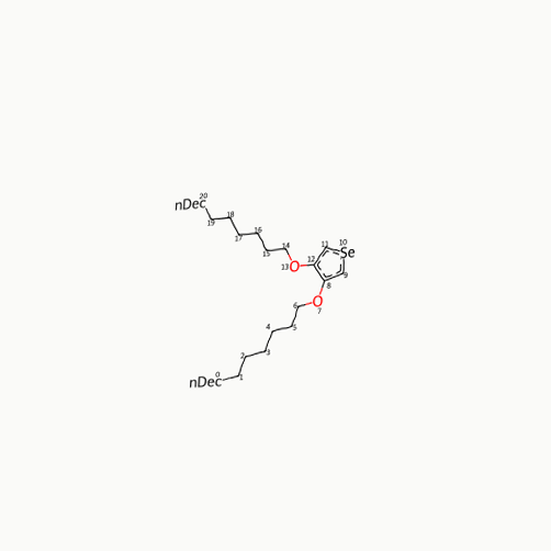 CCCCCCCCCCCCCCCCOc1c[se]cc1OCCCCCCCCCCCCCCCC